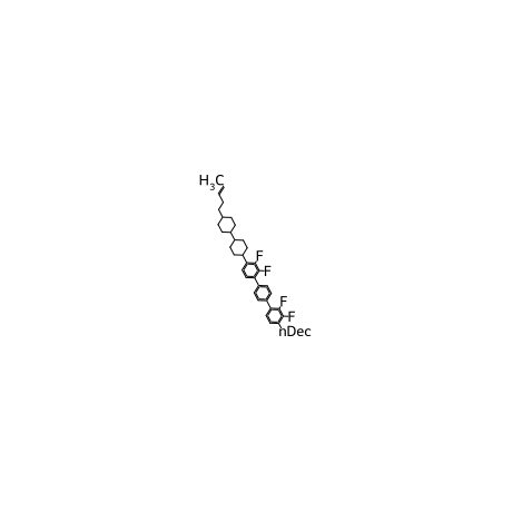 C/C=C/CCC1CCC(C2CCC(c3ccc(-c4ccc(-c5ccc(CCCCCCCCCC)c(F)c5F)cc4)c(F)c3F)CC2)CC1